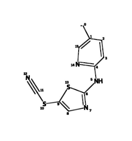 [CH2]c1ccc(Nc2ncc(SC#N)s2)nc1